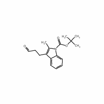 Cc1c(CCC=O)c2ccccc2n1C(=O)OC(C)(C)C